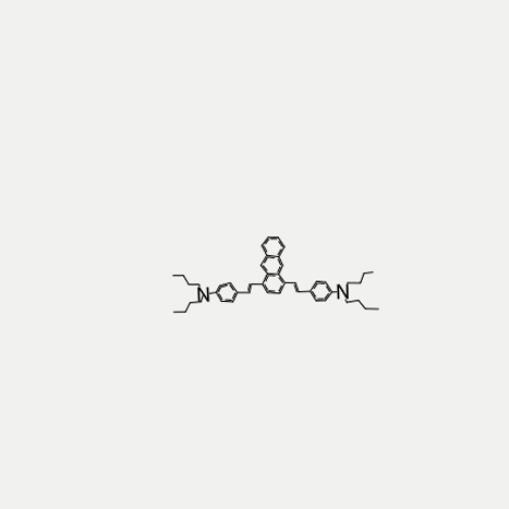 CCCCN(CCCC)c1ccc(C=Cc2ccc(C=Cc3ccc(N(CCCC)CCCC)cc3)c3cc4ccccc4cc23)cc1